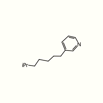 CC(C)CCCCCc1cccnc1